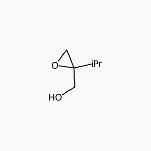 CC(C)C1(CO)CO1